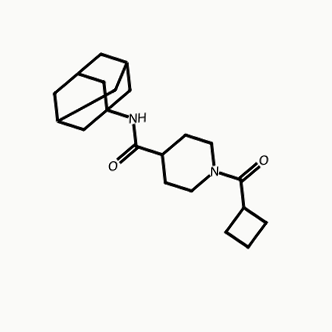 O=C(NC12CC3CC(CC(C3)C1)C2)C1CCN(C(=O)C2CCC2)CC1